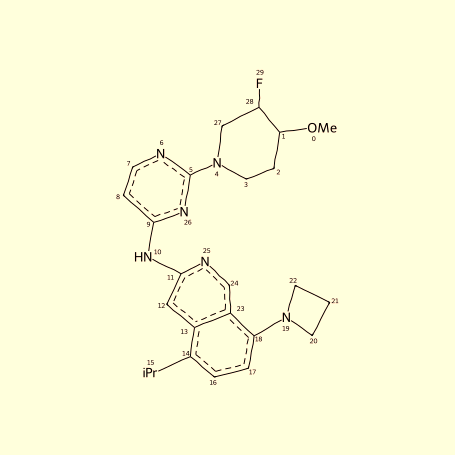 COC1CCN(c2nccc(Nc3cc4c(C(C)C)ccc(N5CCC5)c4cn3)n2)CC1F